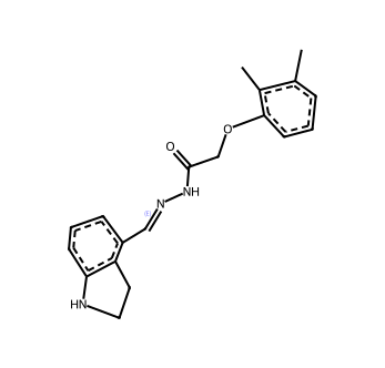 Cc1cccc(OCC(=O)N/N=C/c2cccc3c2CCN3)c1C